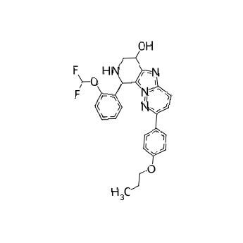 CCCOc1ccc(-c2ccc3nc4c(n3n2)C(c2ccccc2OC(F)F)NCC4O)cc1